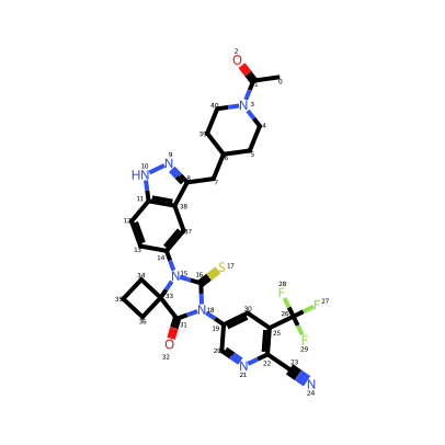 CC(=O)N1CCC(Cc2n[nH]c3ccc(N4C(=S)N(c5cnc(C#N)c(C(F)(F)F)c5)C(=O)C45CCC5)cc23)CC1